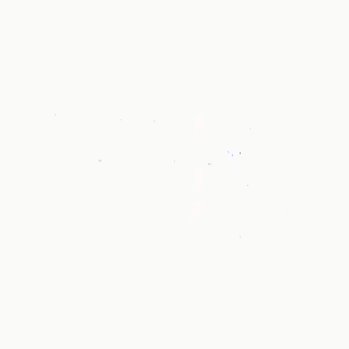 COC(C)C(C(C)C)N(C)S(=O)(=O)c1ccc(CBr)cc1